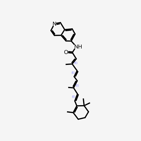 CC1=C(/C=C/C(C)=C/C=C/C(C)=C/C(=O)Nc2ccc3cnccc3c2)C(C)(C)CCC1